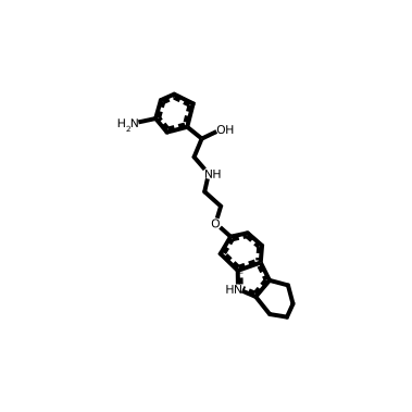 Nc1cccc(C(O)CNCCOc2ccc3c4c([nH]c3c2)CCCC4)c1